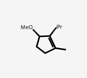 COC1CCC(C)=C1C(C)C